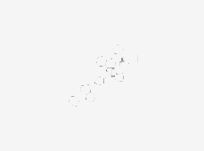 CC1(C)c2ccccc2-c2c1c1c3ccccc3n(-c3ccc(-c4ccc5c6c(cccc46)-c4ccccc4-5)cc3)c1c1ccccc21